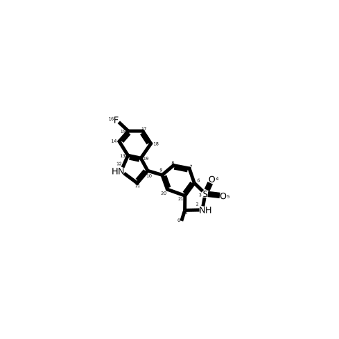 CC1NS(=O)(=O)c2ccc(-c3c[nH]c4cc(F)ccc34)cc21